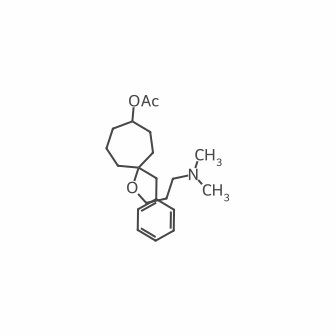 CC(=O)OC1CCCC(Cc2ccccc2)(OCCCN(C)C)CC1